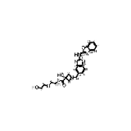 O=C(NCCOCCO)C1(O)CN(Cc2ccc3oc(Nc4nc5ccccc5o4)nc3c2)C1